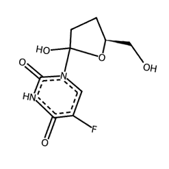 O=c1[nH]c(=O)n(C2(O)CC[C@@H](CO)O2)cc1F